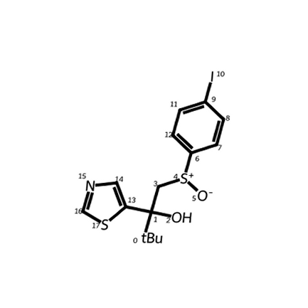 CC(C)(C)C(O)(C[S+]([O-])c1ccc(I)cc1)c1cncs1